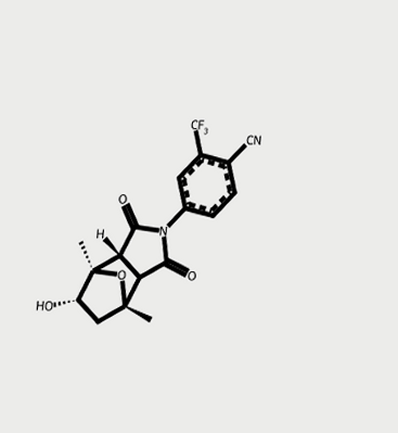 C[C@]12O[C@@](C)(C[C@@H]1O)C1C(=O)N(c3ccc(C#N)c(C(F)(F)F)c3)C(=O)[C@H]12